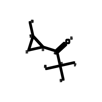 CC1CC1C(=O)C(C)(C)C